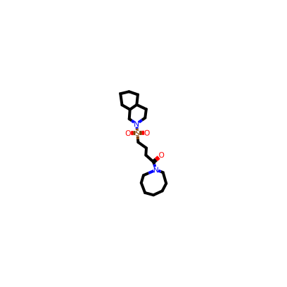 O=C(CCCS(=O)(=O)N1CCC2CCCCC2C1)N1CCCCCCC1